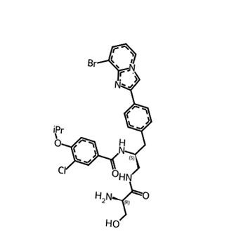 CC(C)Oc1ccc(C(=O)N[C@H](CNC(=O)[C@H](N)CO)Cc2ccc(-c3cn4cccc(Br)c4n3)cc2)cc1Cl